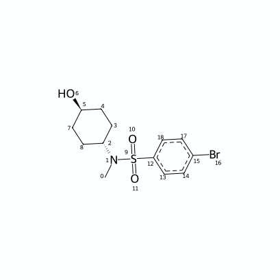 CN([C@H]1CC[C@H](O)CC1)S(=O)(=O)c1ccc(Br)cc1